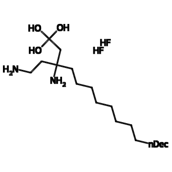 CCCCCCCCCCCCCCCCCCC(N)(CCN)CC(O)(O)O.F.F